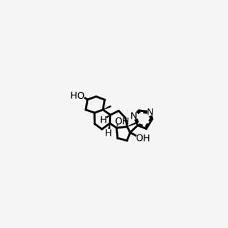 C[C@]12CCC(O)CC1CC[C@@H]1[C@H]2CC[C@]2(C)C(O)(c3ccncn3)CC[C@@]12O